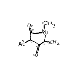 CC(=O)C1C(=O)C(C)N(C)C1=O